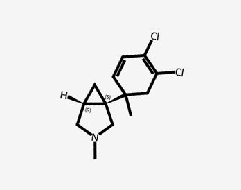 CN1C[C@@H]2C[C@]2(C2(C)C=CC(Cl)=C(Cl)C2)C1